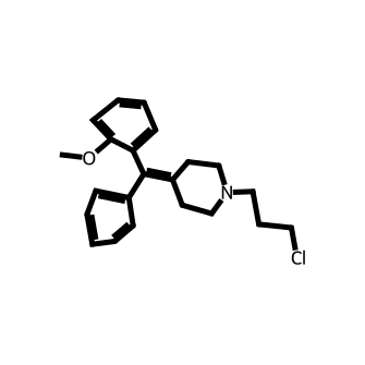 COc1ccccc1C(=C1CCN(CCCCl)CC1)c1ccccc1